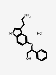 Cl.NCCc1c[nH]c2ccc(OC(CO)c3ccccc3)cc12